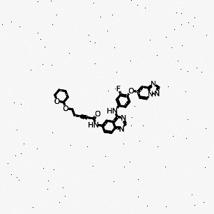 O=C(C#CCCOC1CCCCO1)Nc1ccc2ncnc(Nc3ccc(Oc4ccn5ncnc5c4)c(F)c3)c2c1